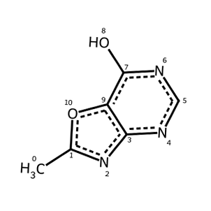 Cc1nc2ncnc(O)c2o1